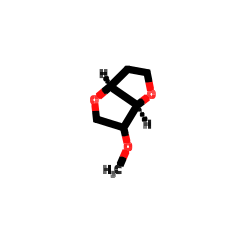 COC1CO[C@H]2CCO[C@@H]12